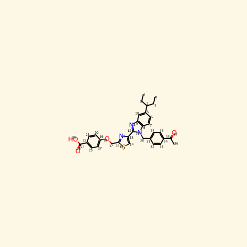 CCC(CC)c1ccc2c(c1)nc(-c1csc(COc3ccc(C(=O)O)cc3)n1)n2Cc1ccc(C(C)=O)cc1